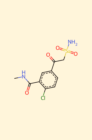 CNC(=O)c1cc(C(=O)CS(N)(=O)=O)ccc1Cl